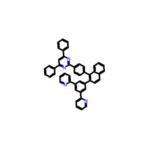 c1ccc(-c2cc(-c3ccccc3)nc(-c3ccc(-c4c(-c5cc(-c6ccccn6)cc(-c6ccccn6)c5)ccc5ccccc45)cc3)n2)cc1